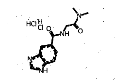 CN(C)C(=O)CNC(=O)c1ccc2[nH]cnc2c1.Cl.Cl